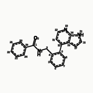 O=C(NCc1ccccc1-c1ccnc2[nH]ccc12)c1ccccc1